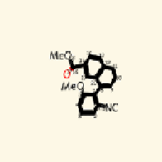 [C-]#[N+]c1cccc(OC)c1C1=CCCc2ccc(C(=O)OC)cc21